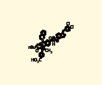 CCCCN(CCCC)C(=O)c1nn(-c2ccc(C(=O)NS(=O)(=O)c3ccc4c(c3)CCN4Cc3ccc(Cl)c(Cl)c3)cc2C(=O)N2CCc3ccccc3C2)c(C)c1-c1ccc(C(=O)O)cc1